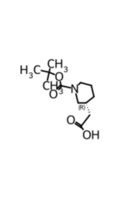 CC(C)(C)OC(=O)N1CCC[C@H](CC(=O)O)C1